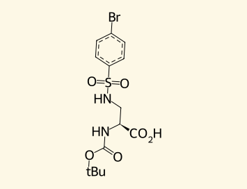 CC(C)(C)OC(=O)N[C@@H](CNS(=O)(=O)c1ccc(Br)cc1)C(=O)O